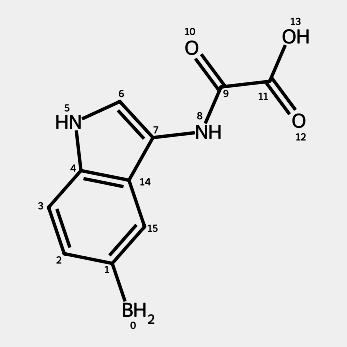 Bc1ccc2[nH]cc(NC(=O)C(=O)O)c2c1